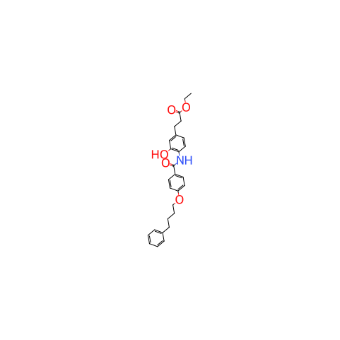 CCOC(=O)CCc1ccc(NC(=O)c2ccc(OCCCCc3ccccc3)cc2)c(O)c1